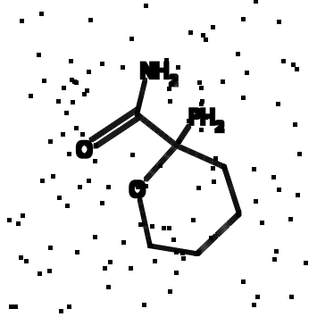 NC(=O)C1(P)CCCCO1